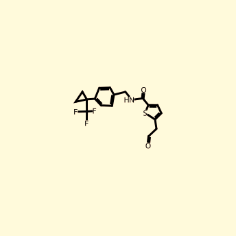 O=CCc1ccc(C(=O)NCc2ccc(C3(C(F)(F)F)CC3)cc2)s1